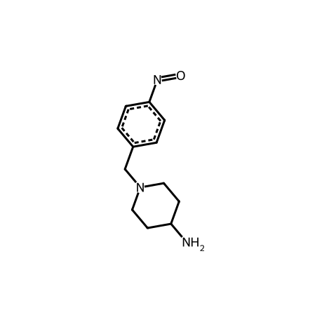 NC1CCN(Cc2ccc(N=O)cc2)CC1